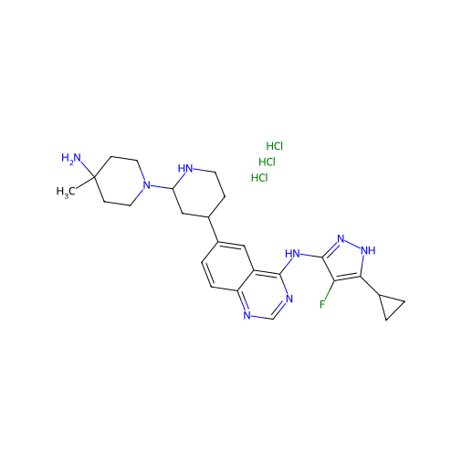 CC1(N)CCN(C2CC(c3ccc4ncnc(Nc5n[nH]c(C6CC6)c5F)c4c3)CCN2)CC1.Cl.Cl.Cl